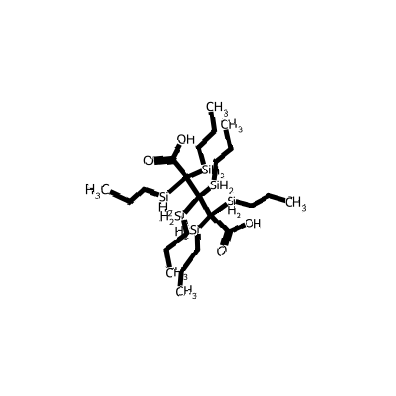 CCC[SiH2]C([SiH2]CCC)(C(=O)O)C([SiH2]CCC)([SiH2]CCC)C([SiH2]CCC)([SiH2]CCC)C(=O)O